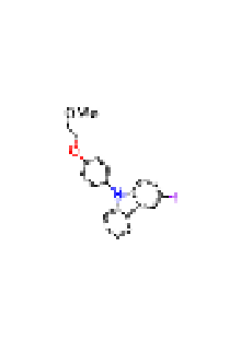 COCCOc1ccc(-n2c3ccccc3c3cc(I)ccc32)cc1